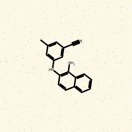 Cc1cc(C#N)cc(Nc2ccc3ccccc3c2N)c1